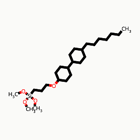 CCCCCCCC1CCC(C2CCC(OCCC[Si](OC)(OC)OC)CC2)CC1